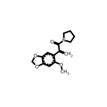 C=C(C(=O)N1CCCC1)c1cc2c(cc1OC)OCO2